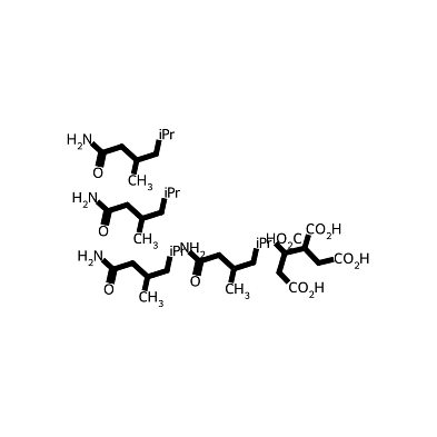 CC(C)CC(C)CC(N)=O.CC(C)CC(C)CC(N)=O.CC(C)CC(C)CC(N)=O.CC(C)CC(C)CC(N)=O.O=C(O)CC(C(=O)O)C(CC(=O)O)C(=O)O